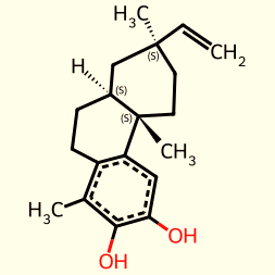 C=C[C@@]1(C)CC[C@]2(C)c3cc(O)c(O)c(C)c3CC[C@H]2C1